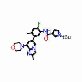 Cc1cn2cc(-c3cc(NC(=O)c4ccn(C(C)(C)C)c4)c(F)cc3C)cc(N3CCOCC3)c2n1